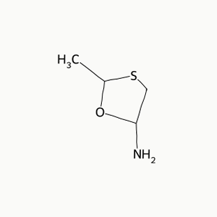 CC1OC(N)CS1